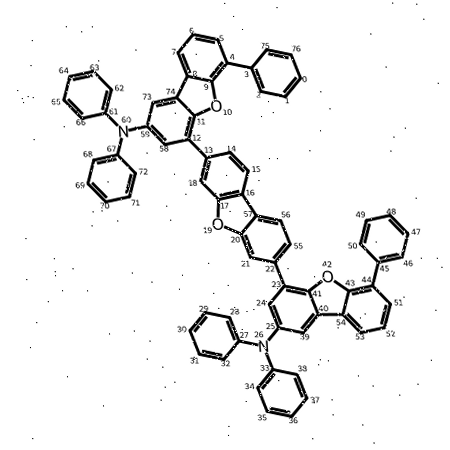 c1ccc(-c2cccc3c2oc2c(-c4ccc5c(c4)oc4cc(-c6cc(N(c7ccccc7)c7ccccc7)cc7c6oc6c(-c8ccccc8)cccc67)ccc45)cc(N(c4ccccc4)c4ccccc4)cc23)cc1